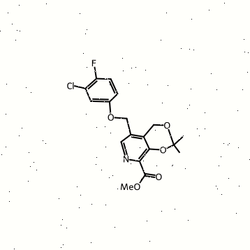 COC(=O)c1ncc(COc2ccc(F)c(Cl)c2)c2c1OC(C)(C)OC2